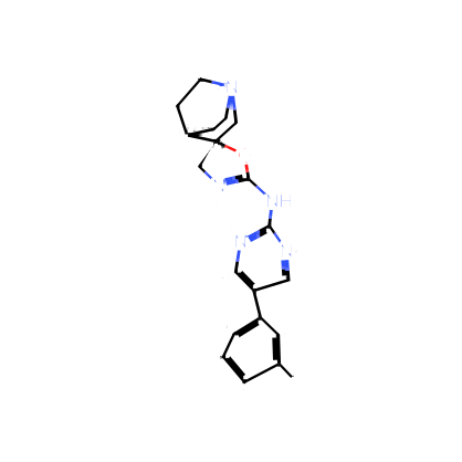 Cc1cccc(-c2cnc(NC3=NC[C@@]4(CN5CCC4CC5)O3)nc2)c1